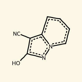 N#Cc1c(O)nn2ccccc12